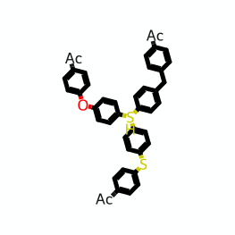 CC(=O)c1ccc(Cc2ccc([SH](c3ccc(Oc4ccc(C(C)=O)cc4)cc3)c3ccc(Sc4ccc(C(C)=O)cc4)cc3)cc2)cc1